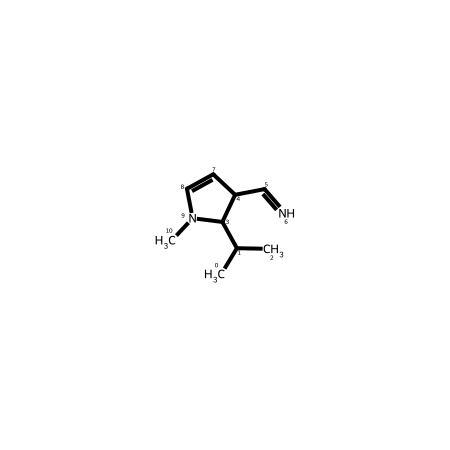 CC(C)C1C(C=N)C=CN1C